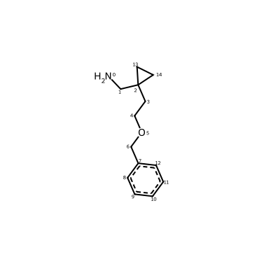 NCC1(CCOCc2ccccc2)CC1